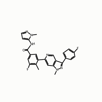 Cc1c(F)cc(C(=O)Nc2ccnn2C)cc1-c1cc2c(cn1)c(-c1ccc(F)cc1)nn2C